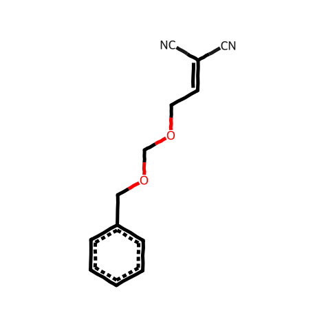 N#CC(C#N)=CCOCOCc1ccccc1